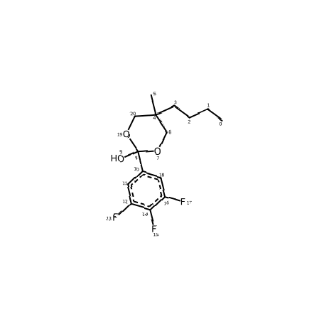 CCCCC1(C)COC(O)(c2cc(F)c(F)c(F)c2)OC1